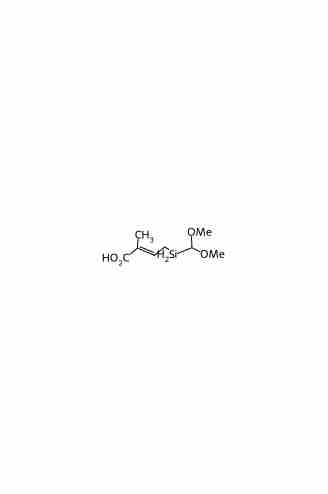 COC(OC)[SiH2]CC=C(C)C(=O)O